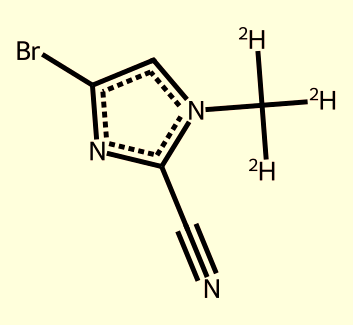 [2H]C([2H])([2H])n1cc(Br)nc1C#N